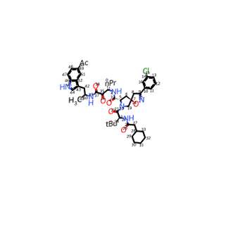 CCC[C@H](NC(=O)[C@@H]1C[C@]2(CC(c3cccc(Cl)c3)=NO2)CN1C(=O)[C@@H](NC(=O)CC1CCCCC1)C(C)(C)C)C(=O)C(=O)NC(C)Cc1c[nH]c2ccc(C(C)=O)cc12